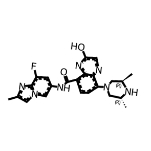 Cc1cn2cc(NC(=O)c3ccc(N4C[C@@H](C)N[C@H](C)C4)c4ncc(O)nc34)cc(F)c2n1